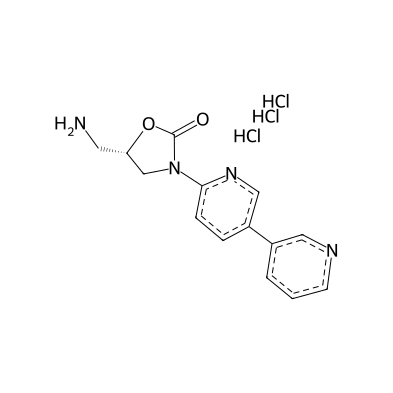 Cl.Cl.Cl.NC[C@H]1CN(c2ccc(-c3cccnc3)cn2)C(=O)O1